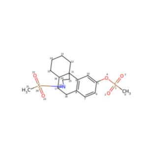 CS(=O)(=O)Oc1ccc2c(c1)C13CCCCC1C(C2)N(S(C)(=O)=O)CC3